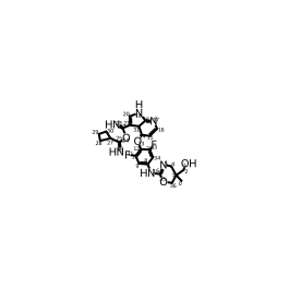 CC1(CO)CN=C(Nc2cc(F)c(OC3C=CN=C4NC=C(C(=N)OC(=N)C5CCC5)C43)c(F)c2)OC1